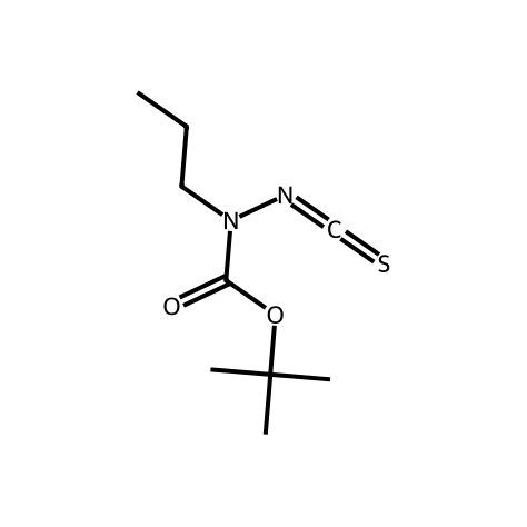 CCCN(N=C=S)C(=O)OC(C)(C)C